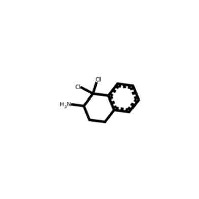 NC1CCc2ccccc2C1(Cl)Cl